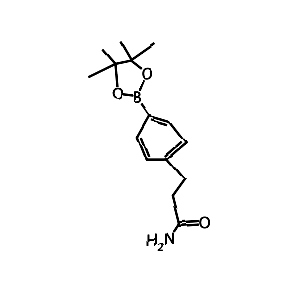 CC1(C)OB(c2ccc(CCC(N)=O)cc2)OC1(C)C